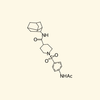 CC(=O)Nc1ccc(S(=O)(=O)N2CCC(C(=O)NC3C4CC5CC(C4)CC3C5)CC2)cc1